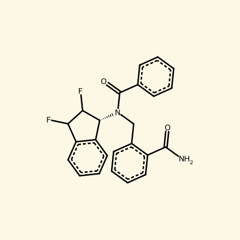 NC(=O)c1ccccc1CN(C(=O)c1ccccc1)[C@@H]1c2ccccc2C(F)C1F